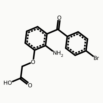 Nc1c(OCC(=O)O)cccc1C(=O)c1ccc(Br)cc1